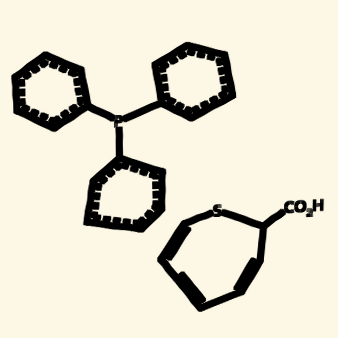 O=C(O)C1C=CC=CC=CS1.c1ccc(P(c2ccccc2)c2ccccc2)cc1